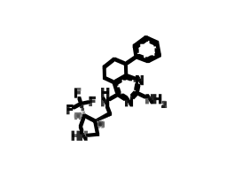 Nc1nc(NC[C@H]2CNC[C@@H]2C(F)(F)F)c2c(n1)C(c1ccccc1)CCC2